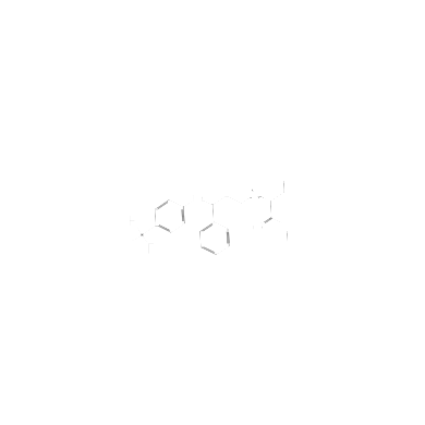 COC(=O)[C@@H](NCCC(Oc1ccc(C(F)(F)F)cc1)c1ccccc1)[C@@H](C)O